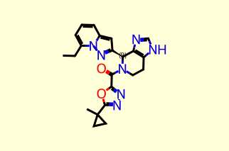 CCc1cccc2cc([C@H]3c4nc[nH]c4CCN3C(=O)c3nnc(C4(C)CC4)o3)nn12